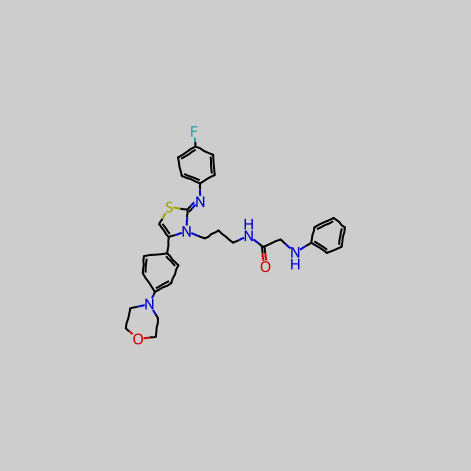 O=C(CNc1ccccc1)NCCCn1c(-c2ccc(N3CCOCC3)cc2)cs/c1=N\c1ccc(F)cc1